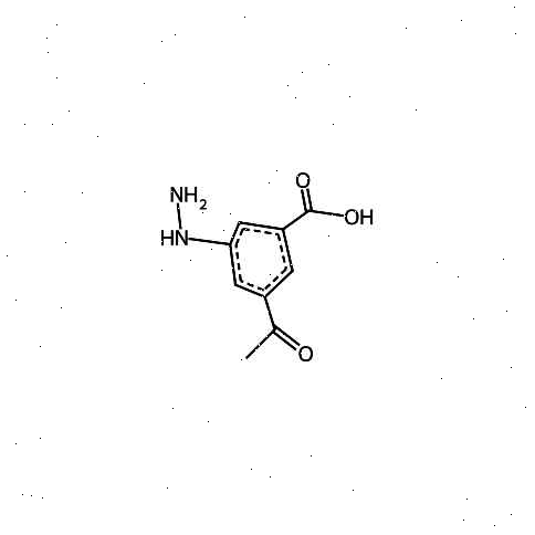 CC(=O)c1cc(NN)cc(C(=O)O)c1